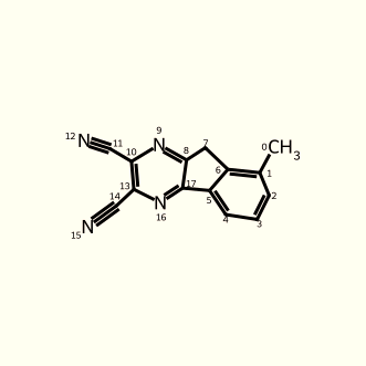 Cc1cccc2c1Cc1nc(C#N)c(C#N)nc1-2